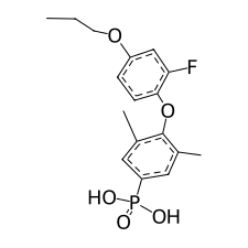 CCCOc1ccc(Oc2c(C)cc(P(=O)(O)O)cc2C)c(F)c1